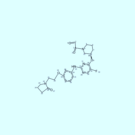 O=CC(=O)N1CCC[C@@H](Oc2nc(Nc3cccc(OCCN4CCCC4=O)c3)ncc2F)C1